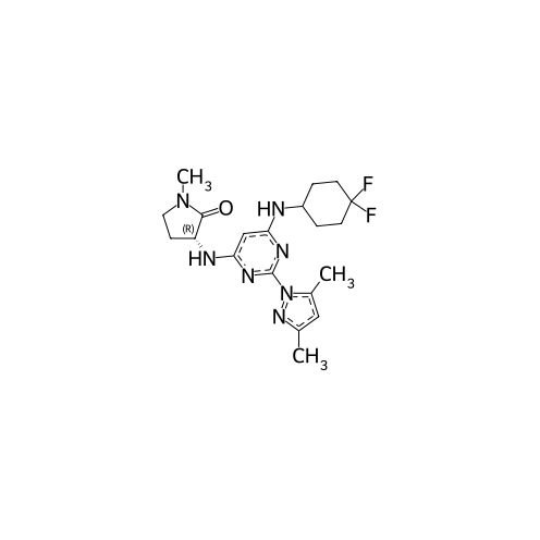 Cc1cc(C)n(-c2nc(NC3CCC(F)(F)CC3)cc(N[C@@H]3CCN(C)C3=O)n2)n1